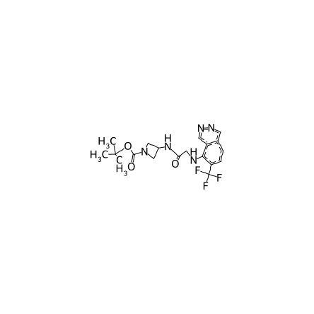 CC(C)(C)OC(=O)N1CC(NC(=O)CNc2c(C(F)(F)F)ccc3cnncc23)C1